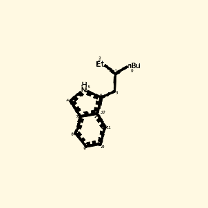 CCCCC(CC)Cc1[nH]cc2ccccc12